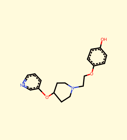 Oc1ccc(OCCN2CCC(Oc3cccnc3)CC2)cc1